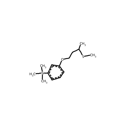 CSC(C)CCOc1cc[c]c([Si](C)(C)C)c1